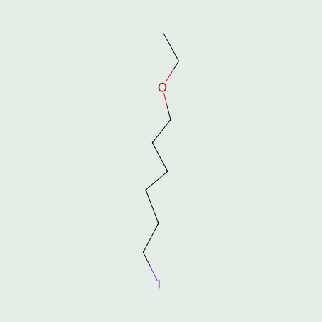 CCOCCCCCCI